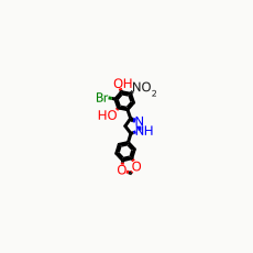 O=[N+]([O-])c1cc(C2=NNC(c3ccc4c(c3)OCO4)C2)c(O)c(Br)c1O